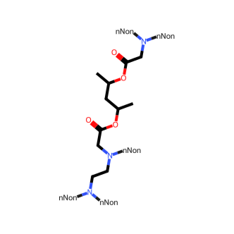 CCCCCCCCCN(CCCCCCCCC)CCN(CCCCCCCCC)CC(=O)OC(C)CC(C)OC(=O)CN(CCCCCCCCC)CCCCCCCCC